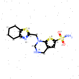 NS(=O)(=O)c1cc2c(s1)N(Cc1nc3c(s1)CCCC3)CNC2